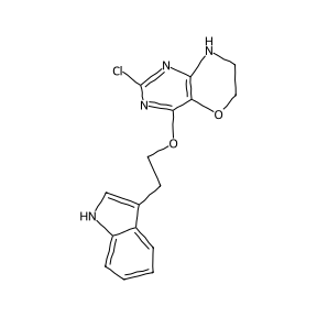 Clc1nc2c(c(OCCc3c[nH]c4ccccc34)n1)OCCN2